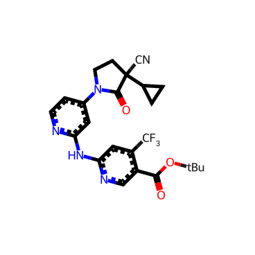 CC(C)(C)OC(=O)c1cnc(Nc2cc(N3CCC(C#N)(C4CC4)C3=O)ccn2)cc1C(F)(F)F